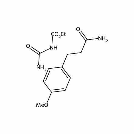 CCOC(=O)NC(N)=O.COc1ccc(CCC(N)=O)cc1